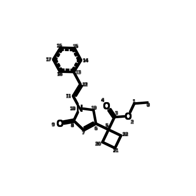 CCOC(=O)C1(C2=CC(=O)N(C=Cc3ccccc3)C2)CCC1